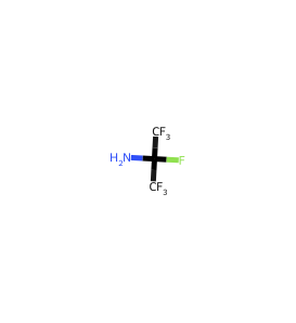 NC(F)(C(F)(F)F)C(F)(F)F